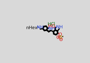 CCCCCCNCc1ccc2[nH]c(-c3ccc(OS(C)(=O)=O)c4c3C(O)NC4)cc2c1.Cl